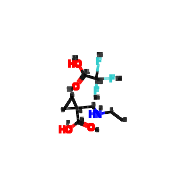 CCNCC1(C(=O)O)CC1.O=C(O)C(F)(F)F